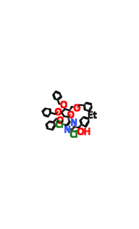 CCc1ccc(C(O)c2nc([C@@H]3O[C@H](COCc4ccccc4)[C@@H](OCc4ccccc4)[C@H](OCc4ccccc4)[C@H]3OCc3ccccc3)c(Cl)nc2Cl)cc1